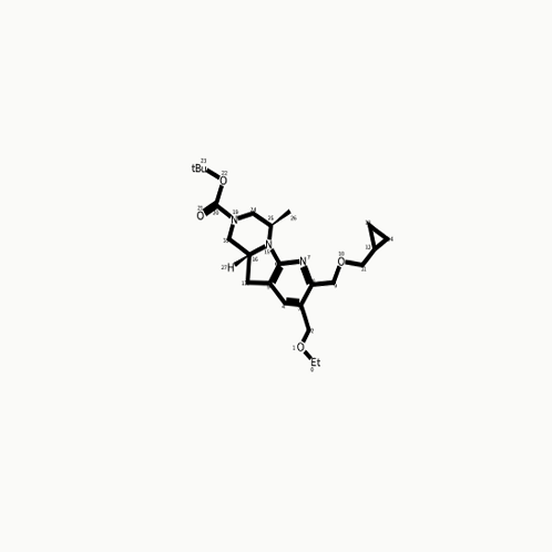 CCOCc1cc2c(nc1COCC1CC1)N1[C@H](C2)CN(C(=O)OC(C)(C)C)C[C@H]1C